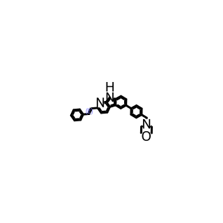 C(=C\c1ccc2c(n1)[nH]c1ccc(-c3ccc(CN4CCOCC4)cc3)cc12)/c1ccccc1